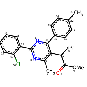 CCCC(C(=O)OC)c1c(C)nc(-c2ccccc2Cl)nc1-c1ccc(C)cc1